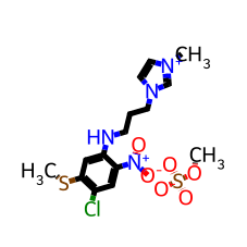 COS(=O)(=O)[O-].CSc1cc(NCCCn2cc[n+](C)c2)c([N+](=O)[O-])cc1Cl